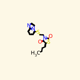 CCCC=C1SC(=O)N(CCSc2cccc3nccn23)C1=O